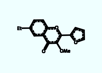 CCc1ccc2oc(-c3ccco3)c(OC)c(=O)c2c1